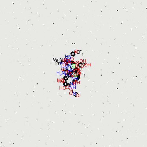 CN[C@H](CC(C)C)C(=O)N[C@H]1C(=O)N[C@@H](CC(N)=O)C(=O)N[C@H]2C(=O)N[C@H]3C(=O)N[C@H](C(=O)N[C@@H](C(=O)NOCC(=O)N4CCOCC4)c4cc(O)cc(O)c4-c4cc3ccc4O)[C@H](O)c3ccc(c(Cl)c3)Oc3cc2cc(c3O[C@@H]2O[C@H](CO)[C@@H](O)[C@H](O)[C@H]2O[C@H]2C[C@](C)(NCCN3CCN(NC(=O)Nc4ccc(OC(F)(F)F)cc4)CC3)[C@H](O)[C@H](C)O2)Oc2ccc(cc2Cl)[C@H]1O